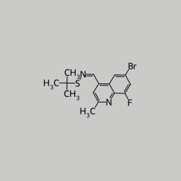 Cc1cc(/C=N\SC(C)(C)C)c2cc(Br)cc(F)c2n1